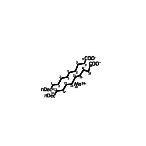 CCCCCCCCCCCCCCCCCCC(=O)[O-].CCCCCCCCCCCCCCCCCCC(=O)[O-].[Mn+2]